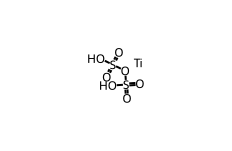 O=S(=O)(O)OS(=O)(=O)O.[Ti]